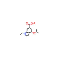 CCn1ccc2c(OC(C)C)cc(C(=O)O)cc21